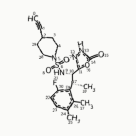 C#CC1CCN(S(=O)(=O)N[C@H](c2n[nH]c(=O)o2)[C@H](C)c2c(F)ccc(C)c2C)CC1